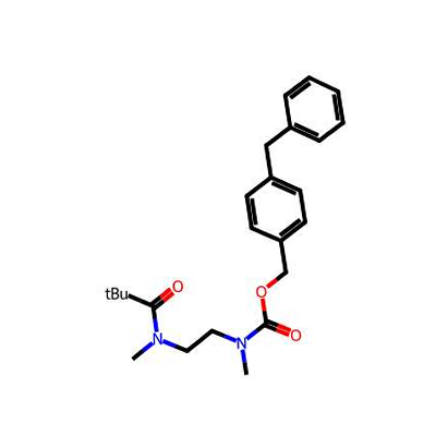 CN(CCN(C)C(=O)C(C)(C)C)C(=O)OCc1ccc(Cc2ccccc2)cc1